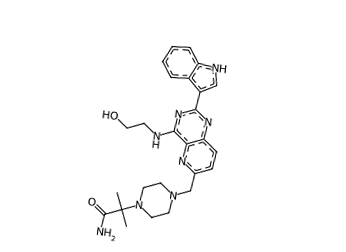 CC(C)(C(N)=O)N1CCN(Cc2ccc3nc(-c4c[nH]c5ccccc45)nc(NCCO)c3n2)CC1